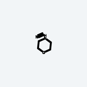 C#N.C1COCCN1